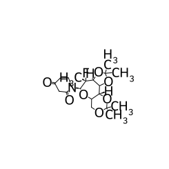 CC1(C)OCC2O[C@@H](N3C=CC(=O)CC3=O)[C@](C)(F)[C@H]3OC(C)(C)OC3[C@@H]2O1